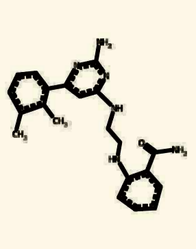 Cc1cccc(-c2cc(NCCNc3ccccc3C(N)=O)nc(N)n2)c1C